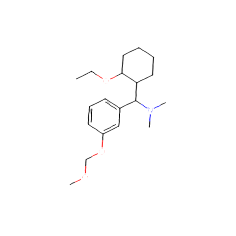 CCOC1CCCCC1C(c1cccc(OCOC)c1)N(C)C